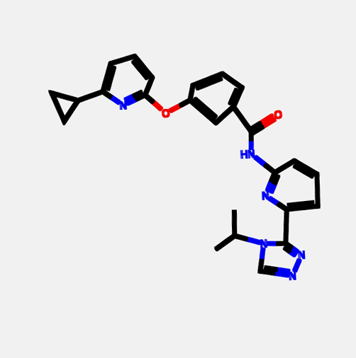 CC(C)n1cnnc1-c1cccc(NC(=O)c2cccc(Oc3cccc(C4CC4)n3)c2)n1